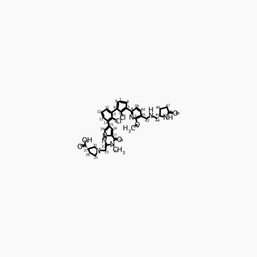 COc1nc(-c2cccc(-c3cccc(-c4cc5c(=O)n(C)c(CN6CC[C@H](C(=O)O)C6)nn5c4)c3Cl)c2Cl)ccc1CNC[C@@H]1CCC(=O)N1